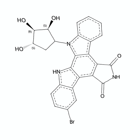 O=C1NC(=O)c2c1c1c3cc(Br)ccc3[nH]c1c1c2c2ccccc2n1C1C[C@H](O)[C@@H](O)[C@H]1O